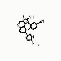 Cc1ccc(C#N)cc1-n1c(=N)n(C)c2cnc3ccc(-c4ccc(N)nc4)cc3c21